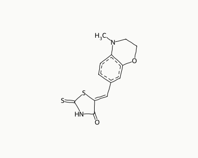 CN1CCOc2cc(/C=C3\SC(=S)NC3=O)ccc21